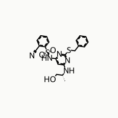 C[C@H](CO)Nc1cc(NS(=O)(=O)c2ccccc2C#N)nc(SCc2ccccc2)n1